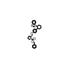 O=C(OCc1ccccc1)N1CCC[C@H]1COc1ccc(C2CCCCC2n2cnc3ccccc32)cc1